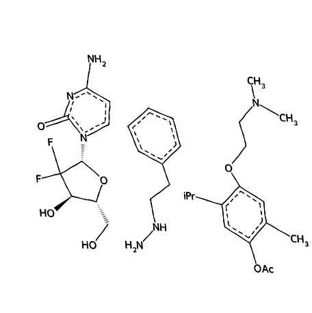 CC(=O)Oc1cc(C(C)C)c(OCCN(C)C)cc1C.NNCCc1ccccc1.Nc1ccn([C@@H]2O[C@H](CO)[C@@H](O)C2(F)F)c(=O)n1